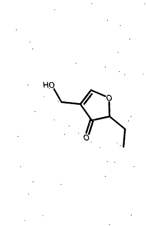 CCC1OC=C(CO)C1=O